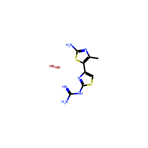 Br.Br.Cc1nc(N)sc1-c1csc(NC(=N)N)n1